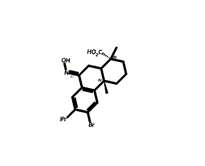 CC(C)c1cc2c(cc1Br)[C@@]1(C)CCC[C@@](C)(C(=O)O)C1C/C2=N\O